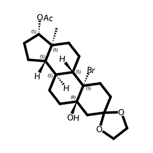 CC(=O)O[C@H]1CC[C@H]2[C@@H]3CC[C@@]4(O)CC5(CC[C@]4(Br)[C@H]3CC[C@]12C)OCCO5